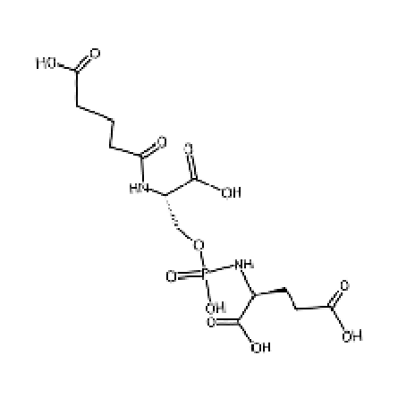 O=C(O)CCCC(=O)N[C@@H](COP(=O)(O)N[C@@H](CCC(=O)O)C(=O)O)C(=O)O